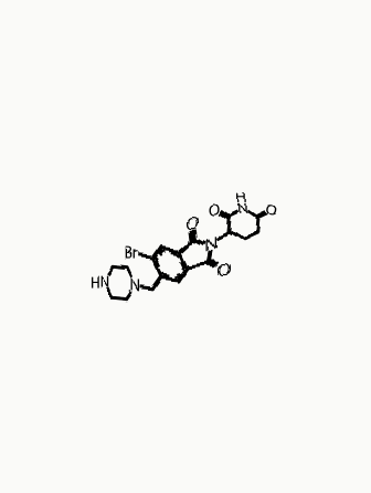 O=C1CCC(N2C(=O)c3cc(Br)c(CN4CCNCC4)cc3C2=O)C(=O)N1